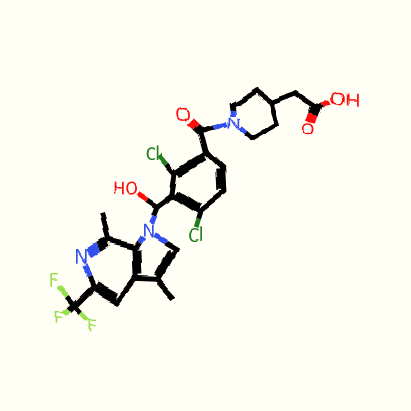 Cc1cn(C(O)c2c(Cl)ccc(C(=O)N3CCC(CC(=O)O)CC3)c2Cl)c2c(C)nc(C(F)(F)F)cc12